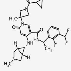 C[C@@H](NC(=O)c1cn(C2(C)CN(C(=O)C3CC3)C2)c(=O)cc1N[C@@H]1[C@@H]2CN(C)C[C@@H]21)c1cccc(C(F)F)c1F